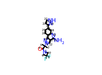 CC(C)(C(=O)N1CC(F)(F)C1)n1cc2c(N)nc3cc(-c4cc[nH]n4)ccc3c2n1